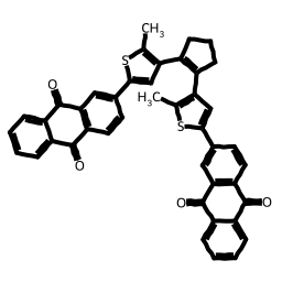 Cc1sc(-c2ccc3c(c2)C(=O)c2ccccc2C3=O)cc1C1=C(c2cc(-c3ccc4c(c3)C(=O)c3ccccc3C4=O)sc2C)CCC1